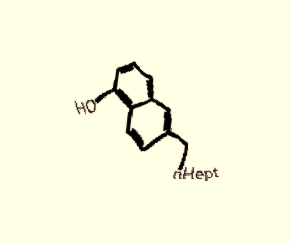 CCCCCCCCc1ccc2c(O)cccc2c1